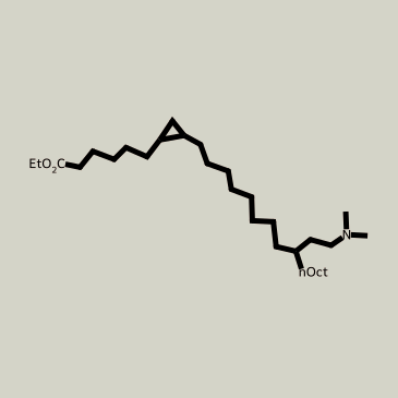 CCCCCCCCC(CCCCCCCCC1CC1CCCCCC(=O)OCC)CCN(C)C